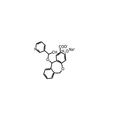 CC(OC1c2ccccc2COc2ccc(C(=O)[O-])cc21)c1cccnc1.O.[Na+]